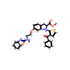 COC(=O)C(Cc1ccc(OCCN(C)c2nc3ccccc3o2)cc1)Nc1sccc1C(=O)c1ccccc1